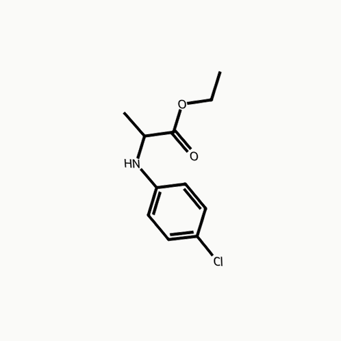 CCOC(=O)C(C)Nc1ccc(Cl)cc1